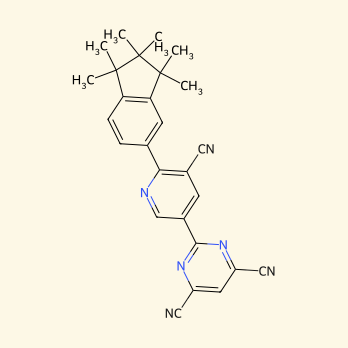 CC1(C)c2ccc(-c3ncc(-c4nc(C#N)cc(C#N)n4)cc3C#N)cc2C(C)(C)C1(C)C